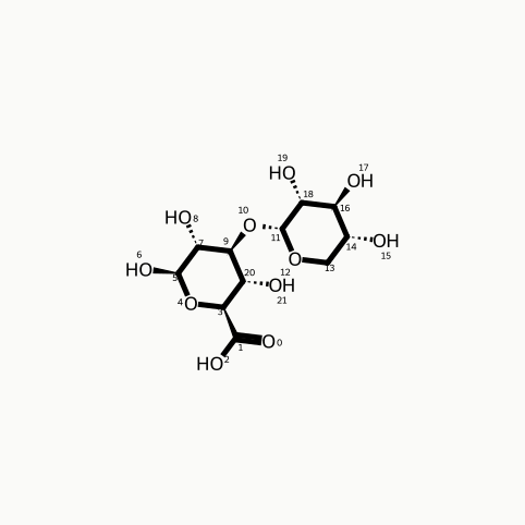 O=C(O)[C@H]1O[C@@H](O)[C@H](O)[C@@H](O[C@H]2OC[C@@H](O)[C@H](O)[C@H]2O)[C@@H]1O